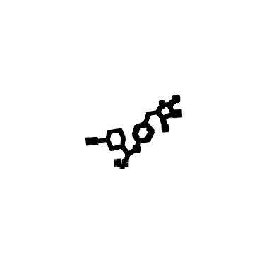 CC(Oc1ccc(CC2SC(=O)NC2=O)cc1)C1CCCC(O)C1